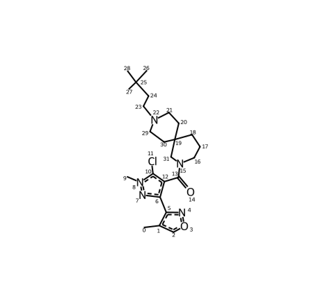 Cc1conc1-c1nn(C)c(Cl)c1C(=O)N1CCCC2(CCN(CCC(C)(C)C)CC2)C1